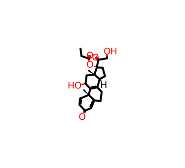 CCC(=O)O[C@]1(C(=O)CO)CC[C@H]2C3=C([C@@H](O)C[C@@]21C)[C@@]1(C)C=CC(=O)C=C1CC3